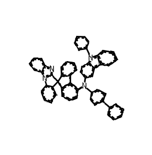 c1ccc(-c2ccc(N(c3ccc4c(c3)c3ccccc3n4-c3ccccc3)c3cccc4c3-c3ccccc3C43c4ccccc4-n4c3nc3ccccc34)cc2)cc1